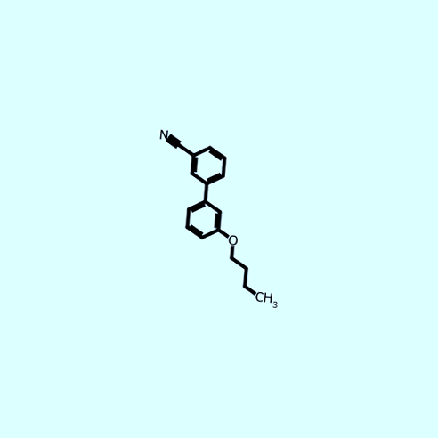 CCCCOc1cccc(-c2cccc(C#N)c2)c1